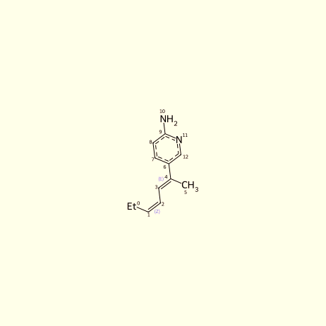 CC/C=C\C=C(/C)c1ccc(N)nc1